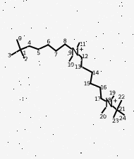 CC(C)(C)CCCCC[N+](C)(C)CCCCCC[N+](C)(C)C(C)(C)C